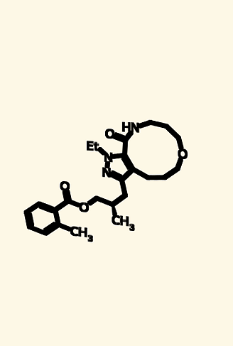 CCn1nc(C[C@@H](C)COC(=O)c2ccccc2C)c2c1C(=O)NCCCOCCC2